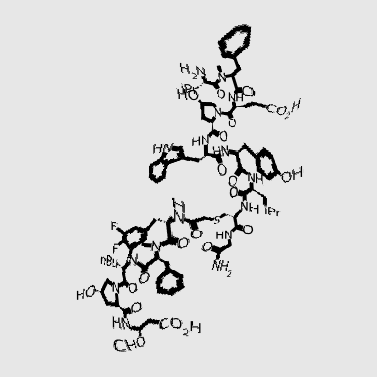 CCCC[C@@H](C(=O)N1C[C@@H](O)C[C@@H]1C(=O)N[C@H](C=O)CC(=O)O)N(C)C(=O)[C@H](Cc1ccccc1)N(C)C(=O)[C@H](Cc1cc(F)c(F)c(F)c1)NC(=O)CSC[C@H](NC(=O)[C@H](CC(C)C)NC(=O)[C@H](Cc1ccc(O)cc1)NC(=O)[C@H](Cc1c[nH]c2ccccc12)NC(=O)[C@H]1C[C@@H](O)CN1C(=O)[C@H](CCC(=O)O)NC(=O)C(Cc1ccccc1)N(C)C(=O)[C@@H](N)C(C)C)C(=O)NCC(N)=O